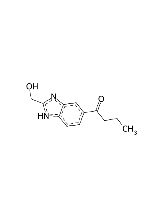 CCCC(=O)c1ccc2[nH]c(CO)nc2c1